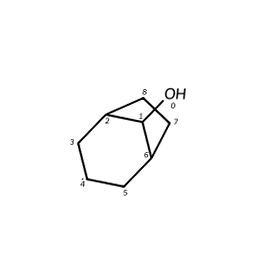 OC1C2C[CH]CC1CC2